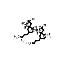 CCCCC(CC)CC(CC(=O)O)(C(=O)O)S(=O)(=O)O.CCCCC(CC)CC(CC(=O)O)(C(=O)O)S(=O)(=O)O.[Ag]